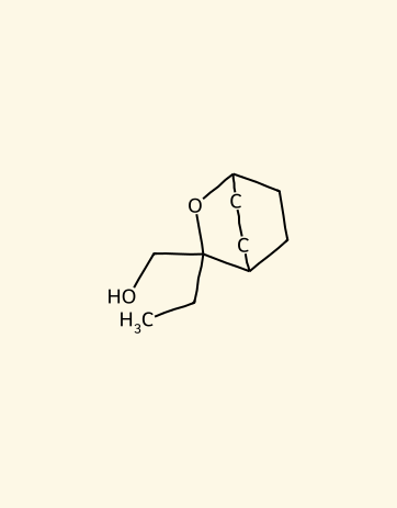 CCC1(CO)OC2CCC1CC2